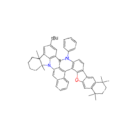 CC(C)(C)c1cc2c3c(c1)C1(C)CCCCC1(C)N3c1cc3ccccc3c3c1B2N(c1ccccc1)c1ccc2c(oc4cc5c(cc42)C(C)(C)CCC5(C)C)c1-3